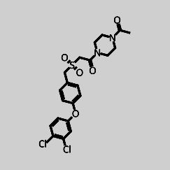 CC(=O)N1CCN(C(=O)CS(=O)(=O)Cc2ccc(Oc3ccc(Cl)c(Cl)c3)cc2)CC1